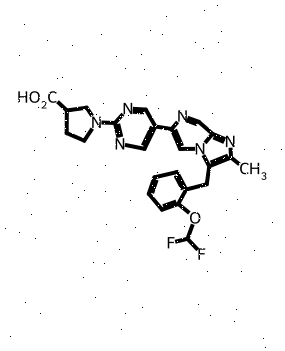 Cc1nc2cnc(-c3cnc(N4CCC(C(=O)O)C4)nc3)cn2c1Cc1ccccc1OC(F)F